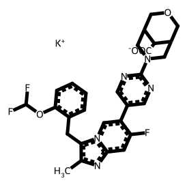 Cc1nc2cc(F)c(-c3cnc(N4CC5COCC(C4)C5C(=O)[O-])nc3)cn2c1Cc1ccccc1OC(F)F.[K+]